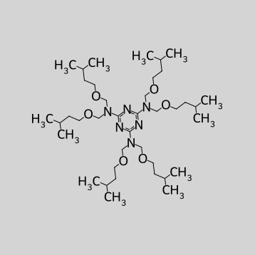 CC(C)CCOCN(COCCC(C)C)c1nc(N(COCCC(C)C)COCCC(C)C)nc(N(COCCC(C)C)COCCC(C)C)n1